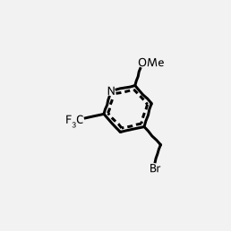 COc1cc(CBr)cc(C(F)(F)F)n1